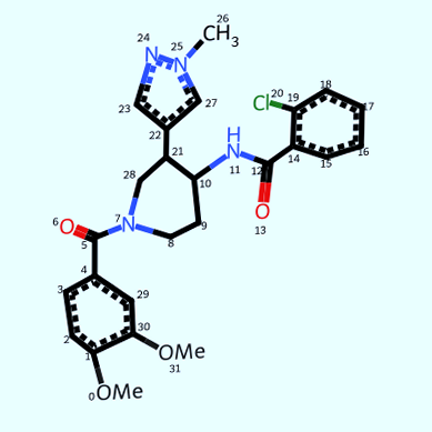 COc1ccc(C(=O)N2CCC(NC(=O)c3ccccc3Cl)C(c3cnn(C)c3)C2)cc1OC